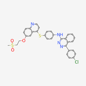 CS(=O)(=O)CCOc1ccc2nccc(Sc3ccc(Nc4nnc(-c5ccc(Cl)cc5)c5ccccc45)cc3)c2c1